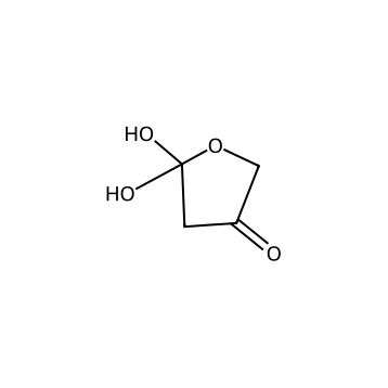 O=C1COC(O)(O)C1